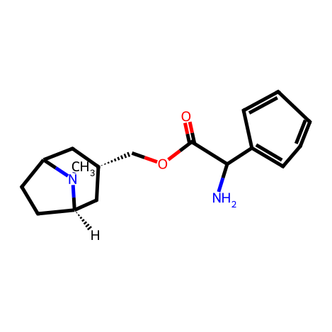 CN1C2CC[C@@H]1C[C@@H](COC(=O)C(N)c1ccccc1)C2